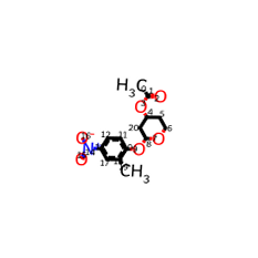 CC(=O)OC1CCOC(Oc2ccc([N+](=O)[O-])cc2C)C1